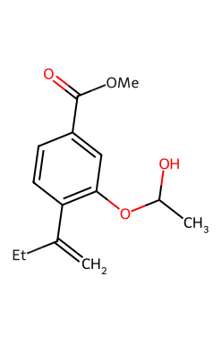 C=C(CC)c1ccc(C(=O)OC)cc1OC(C)O